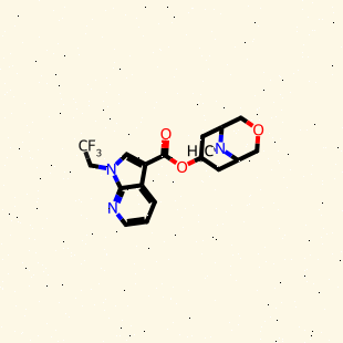 CN1C2COCC1CC(OC(=O)c1cn(CC(F)(F)F)c3ncccc13)C2